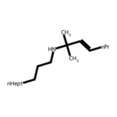 CCCC=CC(C)(C)NCCCCCCCCCC